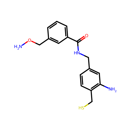 NOCc1cccc(C(=O)NCc2ccc(CS)c(N)c2)c1